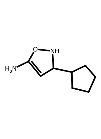 NC1=CC(C2CCCC2)NO1